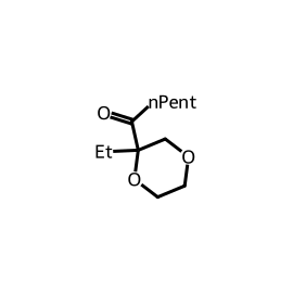 CCCCCC(=O)C1(CC)COCCO1